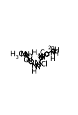 [2H]C([2H])([2H])NCc1ccc(-n2cc(-c3nc(NC4CCN(S(=O)(=O)c5cn(C)cn5)CC4)ncc3Cl)cn2)c(C)c1